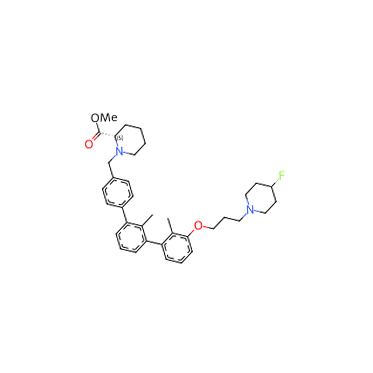 COC(=O)[C@@H]1CCCCN1Cc1ccc(-c2cccc(-c3cccc(OCCCN4CCC(F)CC4)c3C)c2C)cc1